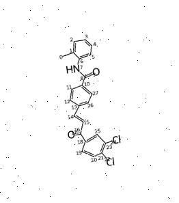 Cc1ccccc1NC(=O)c1ccc(/C=C/C(=O)c2ccc(Cl)c(Cl)c2)cc1